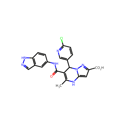 CC1=C(C(=O)Nc2ccc3[nH]ncc3c2)C(c2ccc(Cl)nc2)n2nc(C(=O)O)cc2N1